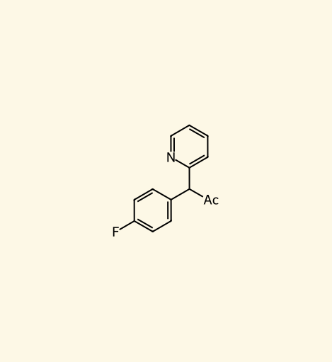 CC(=O)C(c1ccc(F)cc1)c1ccccn1